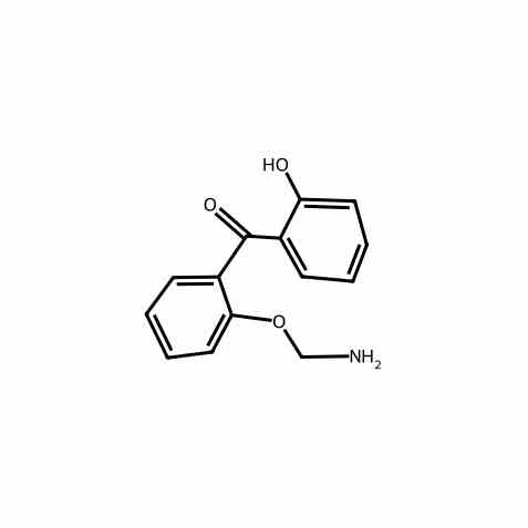 NCOc1ccccc1C(=O)c1ccccc1O